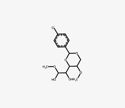 COC(O)C(O)C1OC(c2ccc(Cl)cc2)OCC1OC